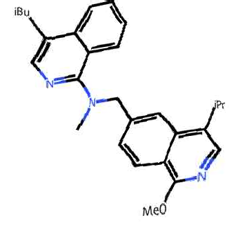 CCC(C)c1cnc(N(C)Cc2ccc3c(OC)ncc(C(C)C)c3c2)c2ccccc12